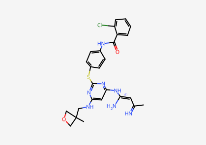 CC(=N)/C=C(\N)Nc1cc(NCC2(C)COC2)nc(Sc2ccc(NC(=O)c3ccccc3Cl)cc2)n1